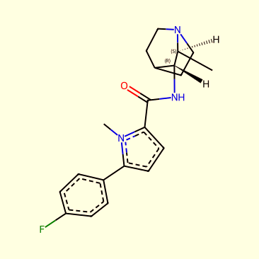 C[C@H]1[C@H](NC(=O)c2ccc(-c3ccc(F)cc3)n2C)C2CCN1CC2